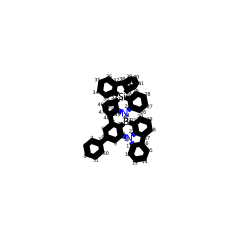 c1ccc(-c2cc3c4c(c2)-n2c5ccccc5c5cccc(c52)B4N2c4ccccc4[Si]4(c5ccccc5-c5ccccc54)c4cccc-3c42)cc1